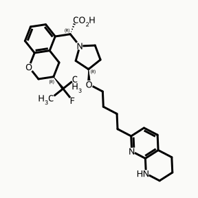 CC(C)(F)[C@H]1COc2cccc([C@H](C(=O)O)N3CC[C@@H](OCCCCc4ccc5c(n4)NCCC5)C3)c2C1